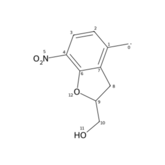 [CH2]c1ccc([N+](=O)[O-])c2c1CC(CO)O2